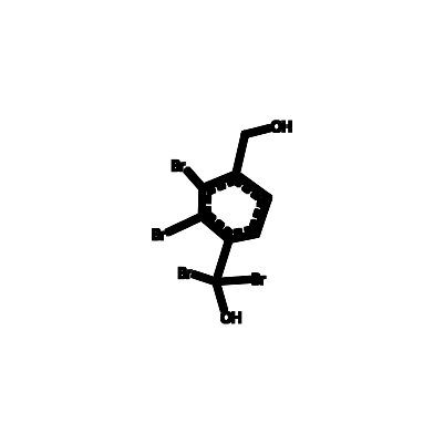 OCc1ccc(C(O)(Br)Br)c(Br)c1Br